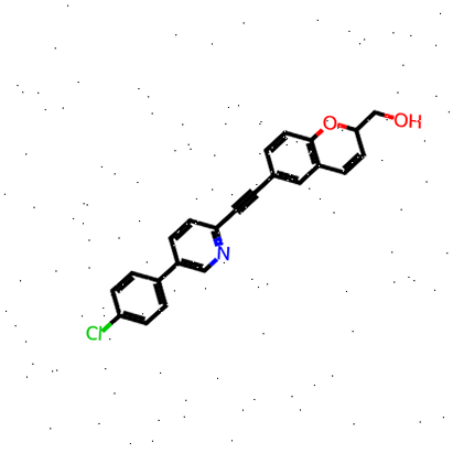 OCC1C=Cc2cc(C#Cc3ccc(-c4ccc(Cl)cc4)cn3)ccc2O1